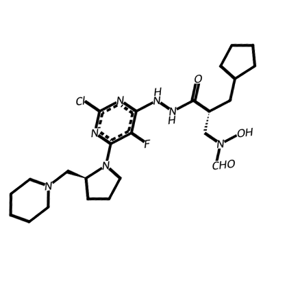 O=CN(O)C[C@@H](CC1CCCC1)C(=O)NNc1nc(Cl)nc(N2CCC[C@H]2CN2CCCCC2)c1F